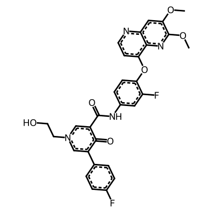 COc1cc2nccc(Oc3ccc(NC(=O)c4cn(CCO)cc(-c5ccc(F)cc5)c4=O)cc3F)c2nc1OC